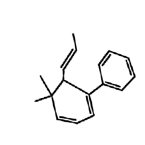 CC=CC1C(c2ccccc2)=CC=CC1(C)C